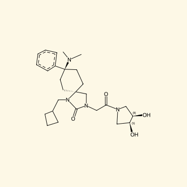 CN(C)[C@]1(c2ccccc2)CC[C@]2(CC1)CN(CC(=O)N1C[C@@H](O)[C@@H](O)C1)C(=O)N2CC1CCC1